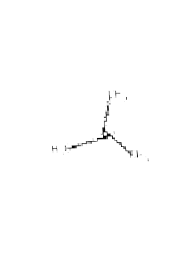 CCCCCCCCCCCCCCc1cc(CCCCCCCCCCCCCC)c[n+](CCCCCCCCCCC)c1